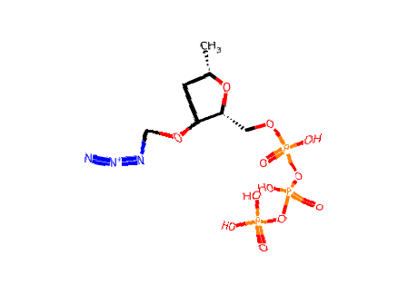 C[C@H]1CC(OCN=[N+]=[N-])[C@@H](COP(=O)(O)OP(=O)(O)OP(=O)(O)O)O1